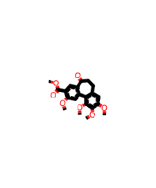 COC(=O)c1cc2c(cc1OC)-c1c(cc(OC)c(OC)c1OC)CCC2=O